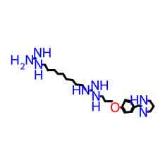 N=C(N)NCCCCCCCCCNC(=N)NCCCOc1ccc(C2=NCCCN2)cc1